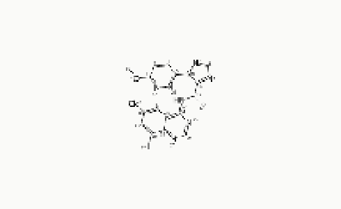 COc1ccc(-n2ncnc2[C@H](C)Nc2ncnc3c(I)cc(Cl)cc23)nn1